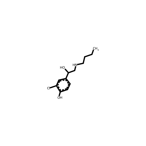 CCCCNCC(O)c1ccc(O)c(Cl)c1